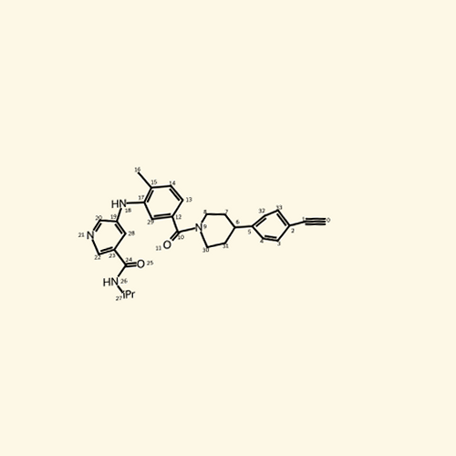 C#Cc1ccc(C2CCN(C(=O)c3ccc(C)c(Nc4cncc(C(=O)NC(C)C)c4)c3)CC2)cc1